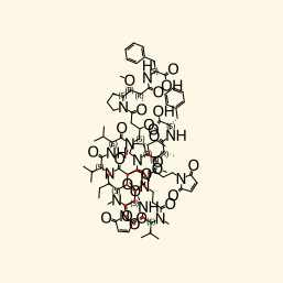 CCC(C)[C@@H](C(CC(=O)N1CCC[C@H]1[C@H](OC)[C@@H](C)C(=O)N[C@@H](Cc1ccccc1)C(=O)O)OC)N(C)C(=O)[C@@H](NC(=O)[C@H](C(C)C)N(C)C(=O)CCN(C(=O)CCN1C(=O)C=CC1=O)N(CCC(=O)N(C)[C@H](C(=O)N[C@H](C(=O)N(C)[C@@H](C(C)CC)C(CC(=O)N1CCC[C@H]1[C@H](OC)[C@@H](C)C(=O)N[C@@H](Cc1ccccc1)C(=O)O)OC)C(C)C)C(C)C)C(=O)CCN1C(=O)C=CC1=O)C(C)C